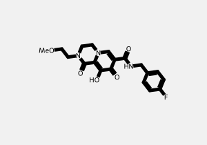 COCCN1CCn2cc(C(=O)NCc3ccc(F)cc3)c(=O)c(O)c2C1=O